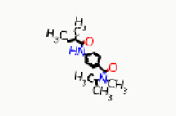 CCC(C)C(=O)Nc1ccc(C(=O)N(C)C(C)C)cc1